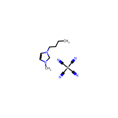 CCCCN1C=CN(C)C1.N#C[B-](C#N)(C#N)C#N